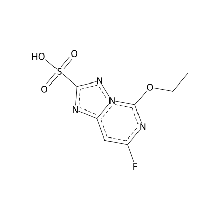 CCOc1nc(F)cc2nc(S(=O)(=O)O)nn12